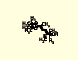 C=N/C(=C\C=C(/C)B1OC(C)(C)C(C)(C)O1)C(C)(C)O